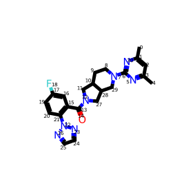 Cc1cc(C)nc(N2CCC3CN(C(=O)c4cc(F)ccc4-n4nccn4)CC3C2)n1